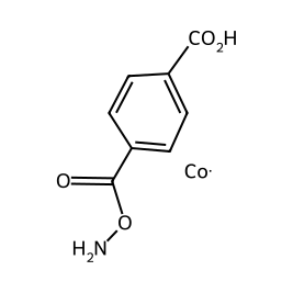 NOC(=O)c1ccc(C(=O)O)cc1.[Co]